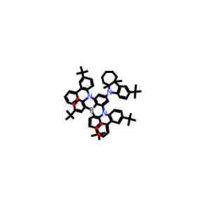 CC(C)(C)c1ccc2c(c1)B1c3ccc(C(C)(C)C)cc3N(c3ccc(C(C)(C)C)cc3-c3ccccc3)c3cc(N4c5ccc(C(C)(C)C)cc5C5(C)CCCCCC45C)cc(c31)N2c1ccc(C(C)(C)C)cc1-c1ccccc1